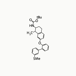 CSc1cccc(-c2ccccc2Oc2ccc3c(c2)C(C)C(NC(=O)OC(C)(C)C)CC3)c1